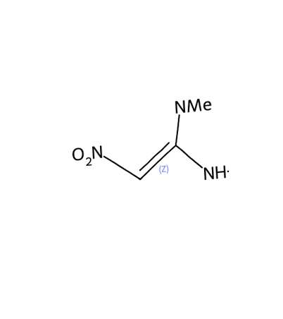 CN/C([NH])=C\[N+](=O)[O-]